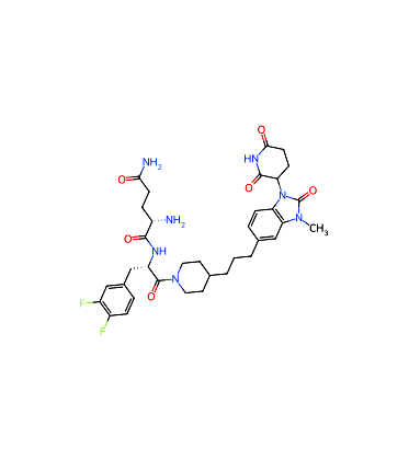 Cn1c(=O)n(C2CCC(=O)NC2=O)c2ccc(CCCC3CCN(C(=O)[C@H](Cc4ccc(F)c(F)c4)NC(=O)[C@@H](N)CCC(N)=O)CC3)cc21